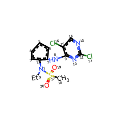 CCN(c1ccccc1Nc1nc(Cl)ncc1Cl)S(C)(=O)=O